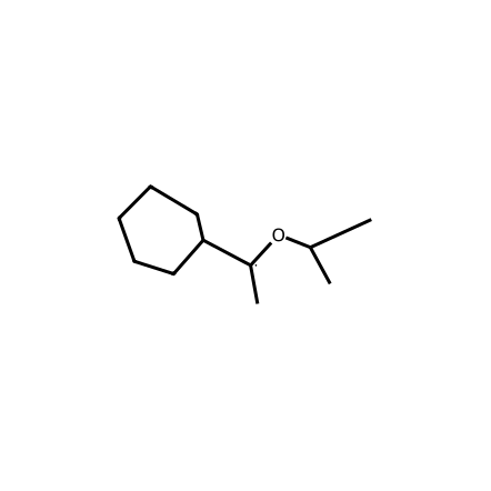 C[C](OC(C)C)C1CCCCC1